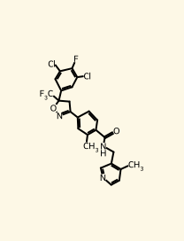 Cc1ccncc1CNC(=O)c1ccc(C2=NOC(c3cc(Cl)c(F)c(Cl)c3)(C(F)(F)F)C2)cc1C